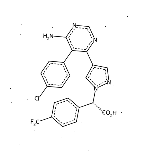 Nc1ncnc(-c2cnn([C@H](C(=O)O)c3ccc(C(F)(F)F)cc3)c2)c1-c1ccc(Cl)cc1